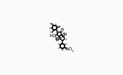 Cc1cc(C)c(C2=C(O)[C@@H]3[C@@H]4O[C@@H](CC4c4cccc([N+](=O)[O-])c4)[C@]3(C)C2=O)c(C)c1